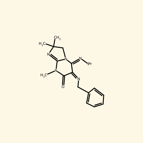 CC(C)/N=C1\C(=N\Cc2ccccc2)C(=O)N(C)C2=NC(C)(C)CN21